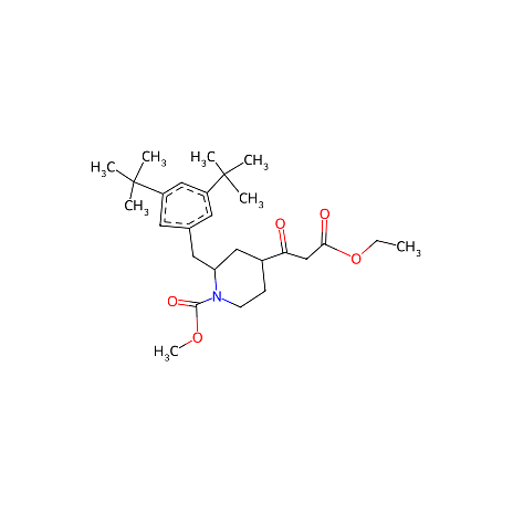 CCOC(=O)CC(=O)C1CCN(C(=O)OC)C(Cc2cc(C(C)(C)C)cc(C(C)(C)C)c2)C1